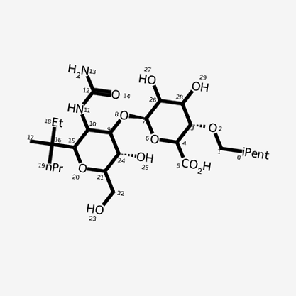 CCCC(C)CO[C@@H]1C(C(=O)O)O[C@@H](OC2C(NC(N)=O)C(C(C)(CC)CCC)OC(CO)[C@H]2O)C(O)C1O